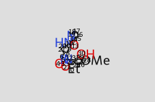 CCC1OC(=O)N(Cc2ccc(NC(=O)c3ccccn3)cc2)N=C1c1ccc(OC)c(O)c1